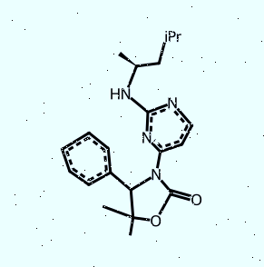 CC(C)C[C@H](C)Nc1nccc(N2C(=O)OC(C)(C)C2c2ccccc2)n1